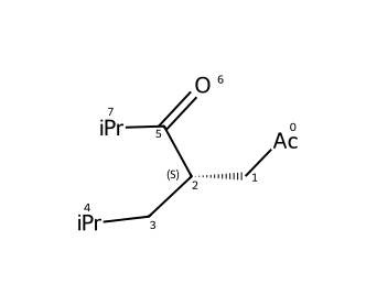 CC(=O)C[C@H](CC(C)C)C(=O)C(C)C